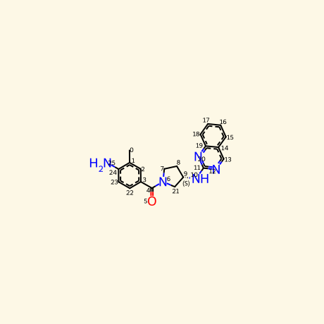 Cc1cc(C(=O)N2CC[C@H](Nc3ncc4ccccc4n3)C2)ccc1N